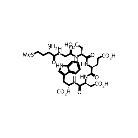 CSCC[C@H](N)C(=O)NCC(=O)N[C@@H](CC(=O)O)C(=O)N[C@@H](CCC(=O)O)C(=O)N[C@@H](CC(=O)O)C(=O)N[C@@H](Cc1c[nH]c2ccccc12)C(=O)O